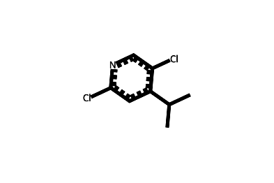 CC(C)c1cc(Cl)ncc1Cl